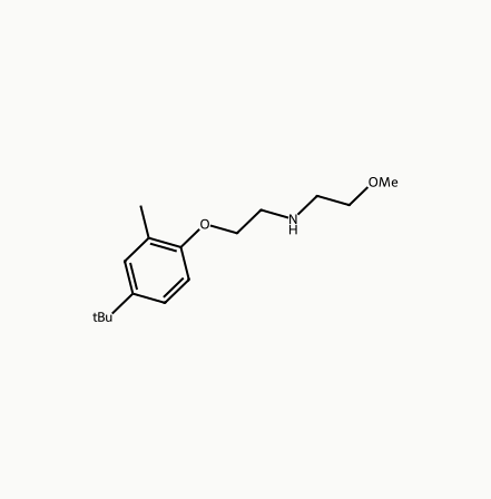 COCCNCCOc1ccc(C(C)(C)C)cc1C